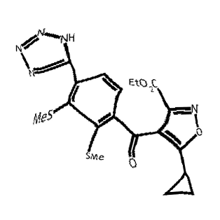 CCOC(=O)c1noc(C2CC2)c1C(=O)c1ccc(-c2nnn[nH]2)c(SC)c1SC